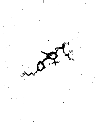 Cc1cc(NC(=N)N=C(N)N)cc(C(F)(F)F)c1-c1ccc(SCCN=O)cc1